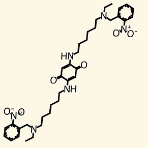 CCN(CCCCCCNC1=CC(=O)C(NCCCCCCN(CC)Cc2ccccc2[N+](=O)[O-])=CC1=O)Cc1ccccc1[N+](=O)[O-]